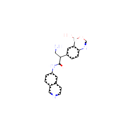 NCC(C(=O)Nc1ccc2cnccc2c1)c1ccc2c(c1)B(O)OC=N2